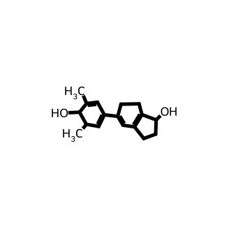 CC1=CC(C2=CC3=C(CC2)C(O)CC3)=CC(C)C1O